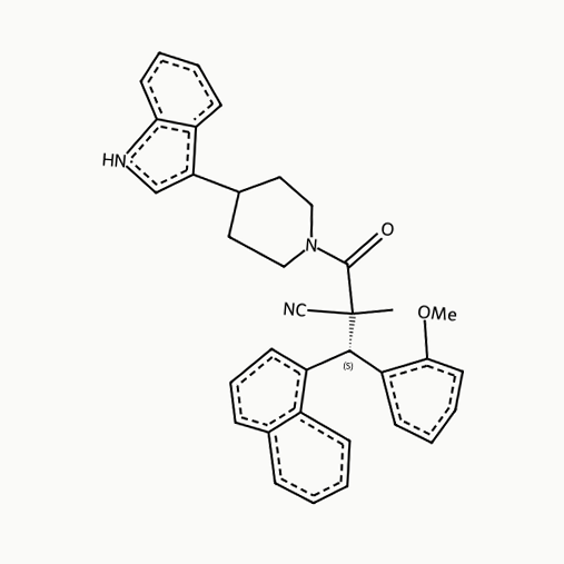 COc1ccccc1[C@H](c1cccc2ccccc12)C(C)(C#N)C(=O)N1CCC(c2c[nH]c3ccccc23)CC1